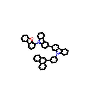 c1cc(-c2cc3ccccc3c3ccccc23)cc(-n2c3ccccc3c3ccc(-c4ccc5c(c4)c4ccccc4n5-c4cccc5c4oc4ccccc45)cc32)c1